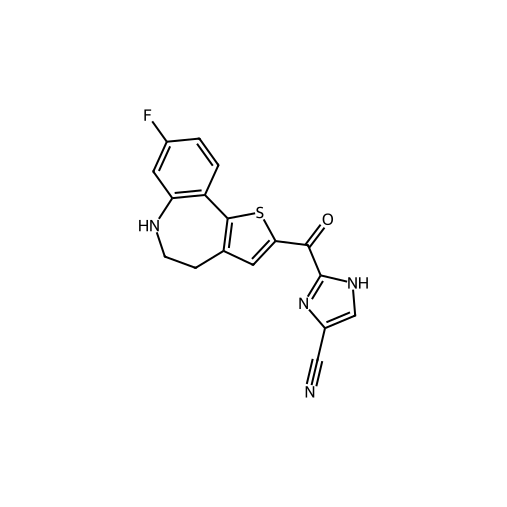 N#Cc1c[nH]c(C(=O)c2cc3c(s2)-c2ccc(F)cc2NCC3)n1